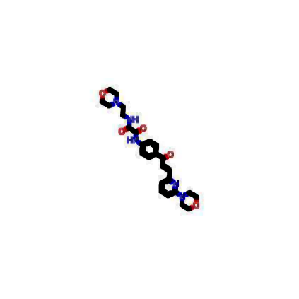 O=C(NCCN1CCOCC1)C(=O)Nc1ccc(C(=O)/C=C/c2cccc(N3CCOCC3)n2)cc1